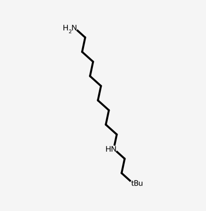 CC(C)(C)CCNCCCCCCCCCN